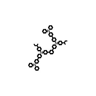 CCC(C)c1ccc(N(c2ccc(-c3ccc(N(c4ccccc4)c4ccccc4)cc3)cc2)c2ccc(-c3cccc(-c4ccc(N(c5ccc(-c6ccc(N(c7ccccc7)c7ccccc7)cc6)cc5)c5ccc(C(C)CC)cc5)cc4)c3)cc2)cc1